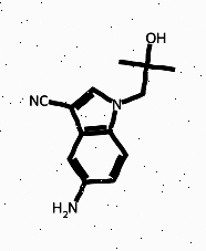 CC(C)(O)Cn1cc(C#N)c2cc(N)ccc21